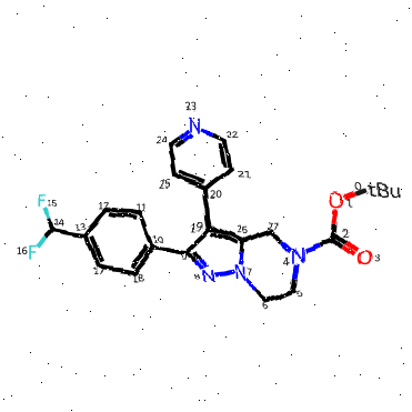 CC(C)(C)OC(=O)N1CCn2nc(-c3ccc(C(F)F)cc3)c(-c3ccncc3)c2C1